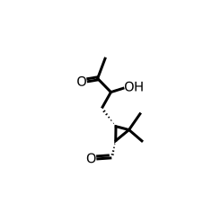 CC(=O)C(O)C[C@H]1[C@@H](C=O)C1(C)C